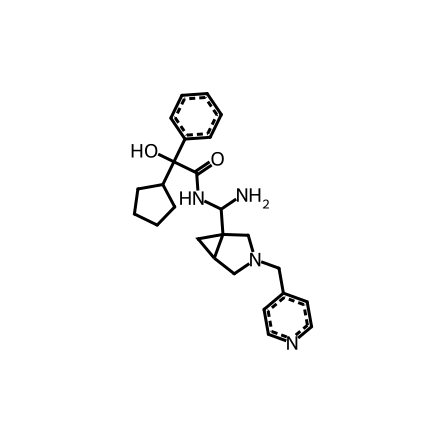 NC(NC(=O)C(O)(c1ccccc1)C1CCCC1)C12CC1CN(Cc1ccncc1)C2